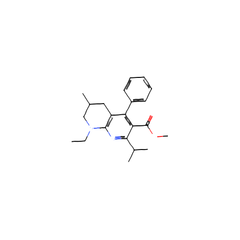 CCN1CC(C)Cc2c1nc(C(C)C)c(C(=O)OC)c2-c1ccccc1